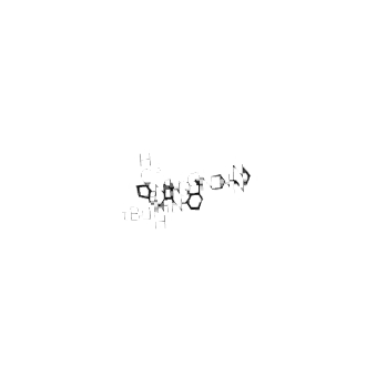 Cc1ccc([C@H](Nc2nsnc2Nc2cccc(C(=O)N3CCN(c4ncccn4)CC3)c2O)C(C)(C)C)s1